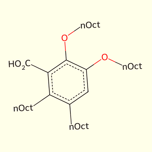 CCCCCCCCOc1cc(CCCCCCCC)c(CCCCCCCC)c(C(=O)O)c1OCCCCCCCC